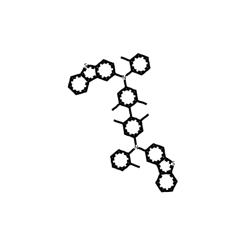 Cc1ccccc1N(c1cc(C)c(-c2c(C)cc(N(c3ccc4sc5ccccc5c4c3)c3ccccc3C)cc2C)c(C)c1)c1ccc2sc3ccccc3c2c1